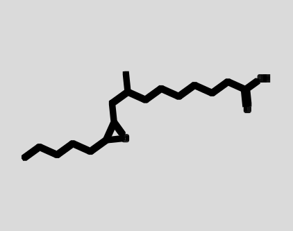 CCCCCC1OC1CC(C)CCCCCCC(=O)O